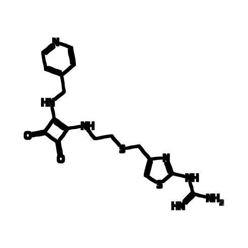 N=C(N)Nc1nc(CSCCNc2c(NCc3ccncc3)c(=O)c2=O)cs1